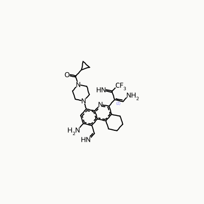 N=Cc1c(N)cc(N2CCN(C(=O)C3CC3)CC2)c2nc(/C(=C/N)C(=N)C(F)(F)F)c3c(c12)CCCC3